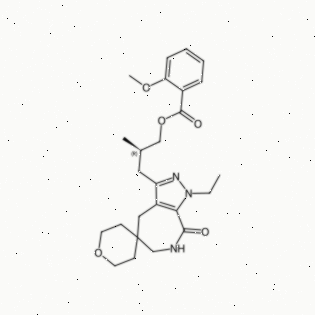 CCn1nc(C[C@@H](C)COC(=O)c2ccccc2OC)c2c1C(=O)NCC1(CCOCC1)C2